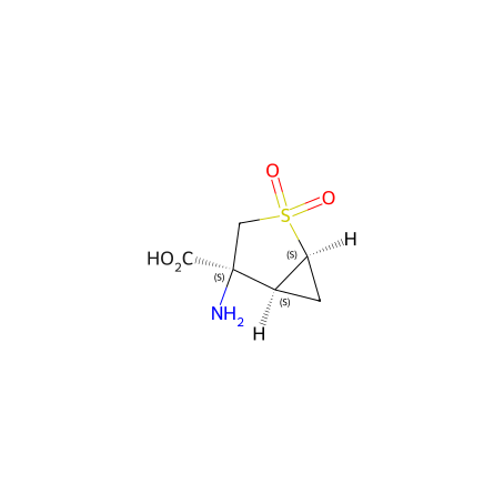 N[C@@]1(C(=O)O)CS(=O)(=O)[C@H]2C[C@H]21